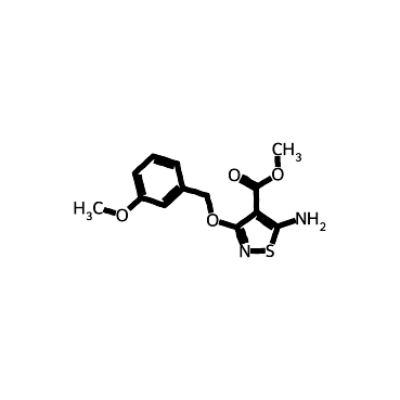 COC(=O)c1c(OCc2cccc(OC)c2)nsc1N